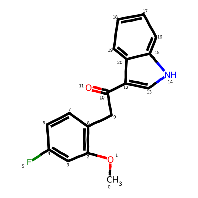 COc1cc(F)ccc1CC(=O)c1c[nH]c2ccccc12